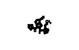 C=CCc1sccc1C(=S)c1cc2n(c1C(=O)c1ccsc1)CCC2C#N